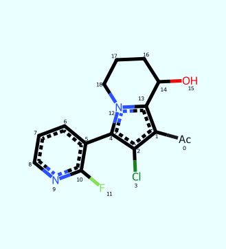 CC(=O)c1c(Cl)c(-c2cccnc2F)n2c1C(O)CCC2